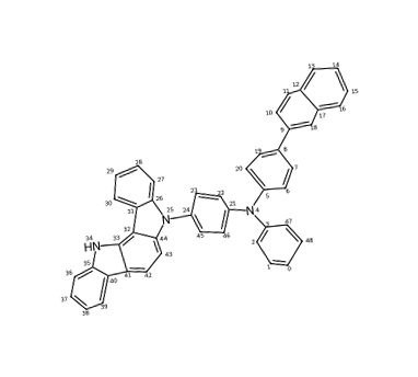 c1ccc(N(c2ccc(-c3ccc4ccccc4c3)cc2)c2ccc(-n3c4ccccc4c4c5[nH]c6ccccc6c5ccc43)cc2)cc1